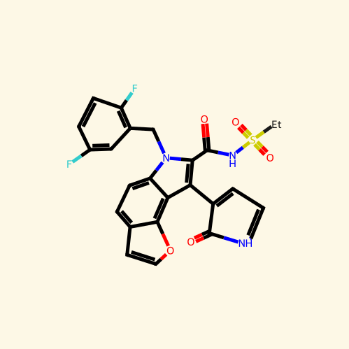 CCS(=O)(=O)NC(=O)c1c(-c2ccc[nH]c2=O)c2c3occc3ccc2n1Cc1cc(F)ccc1F